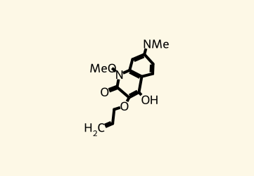 C=CCOc1c(O)c2ccc(NC)cc2n(OC)c1=O